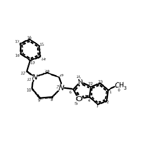 Cc1ccc2oc(N3CCCN(Cc4ccccc4)CC3)nc2c1